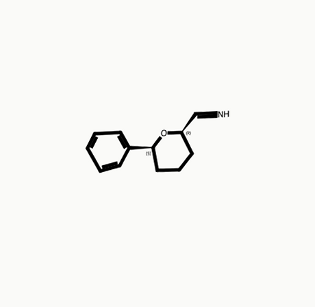 N=C[C@H]1CCC[C@@H](c2ccccc2)O1